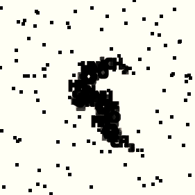 C=CC(=O)N[C@H]1CC[C@@H](Nc2nc(Nc3ccc(C(=O)NC4CCN(C)CC4)c(F)c3)nc3ccsc23)CC1